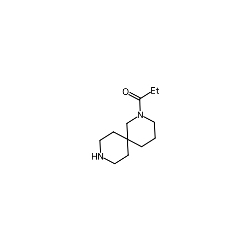 CCC(=O)N1CCCC2(CCNCC2)C1